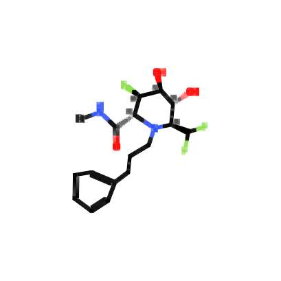 CCNC(=O)[C@@H]1[C@@H](F)[C@@H](O)[C@H](O)[C@@H](C(F)F)N1CCCc1ccccc1